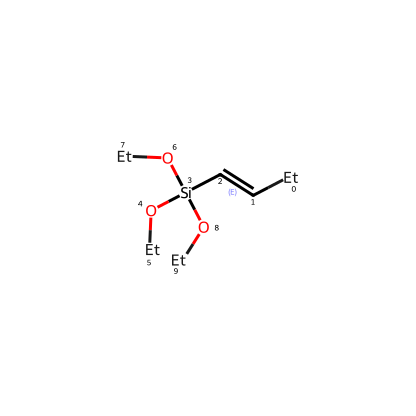 CC/C=C/[Si](OCC)(OCC)OCC